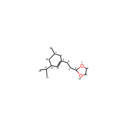 CC1CC(CCC2OCCO2)=CC(C(C)C)C1